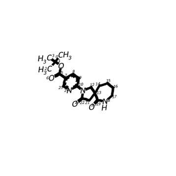 CC(C)(C)OC(=O)c1ccc(N2CC3(CCCCNC3=O)CC2=O)nc1